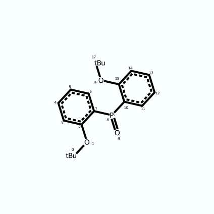 CC(C)(C)Oc1ccccc1[P](=O)c1ccccc1OC(C)(C)C